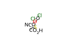 N#Cc1cc(OCc2ccc(Cl)cc2Cl)cc2scc(CC(=O)O)c12